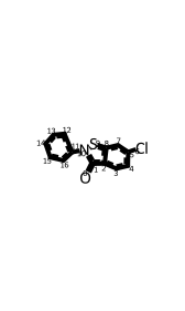 O=c1c2ccc(Cl)cc2sn1-c1ccccc1